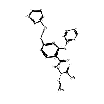 COC(=O)[C@H](CCSC)NC(=O)c1ccc(COc2cccnc2)cc1Oc1ccccc1